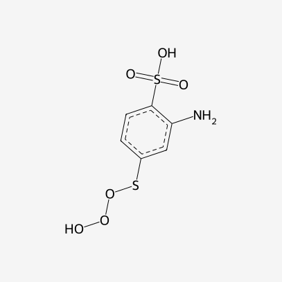 Nc1cc(SOOO)ccc1S(=O)(=O)O